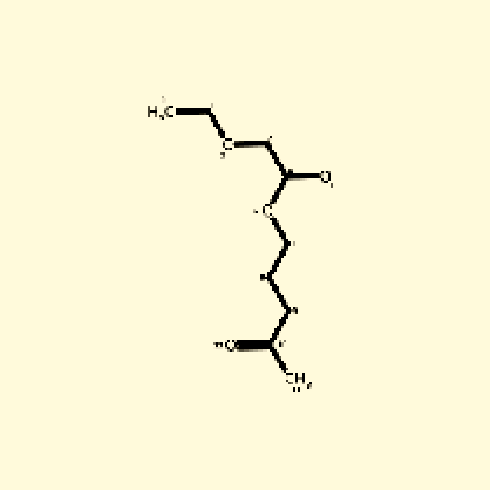 CCOCC(O)OCCCC(C)=O